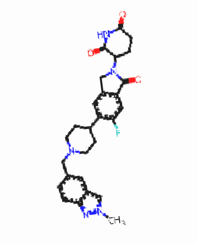 Cn1cc2cc(CN3CCC(c4cc5c(cc4F)C(=O)N(C4CCC(=O)NC4=O)C5)CC3)ccc2n1